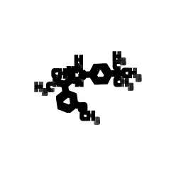 COc1cccc(C(c2n[nH]c(-c3ccc(C(C)(C)C)cc3)n2)N(C)C)c1